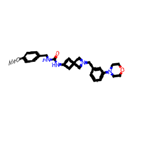 COc1ccc(CNC(=O)NC2CC3(C2)CN(Cc2cccc(N4CCOCC4)c2)C3)cc1